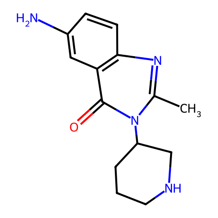 Cc1nc2ccc(N)cc2c(=O)n1C1CCCNC1